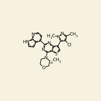 Cc1nn(C)c(-c2csc3c(N4CCOC[C@H]4C)nc(-c4ccnc5[nH]ccc45)nc23)c1Cl